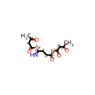 CC(=O)CC(=O)SC(=N)CCC(=O)SC(=O)CC(C)=O